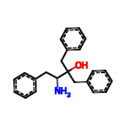 NC(Cc1ccccc1)C(O)(Cc1ccccc1)Cc1ccccc1